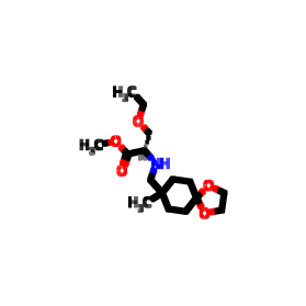 CCOC[C@H](NCC1(C)CCC2(CC1)OCCO2)C(=O)OC